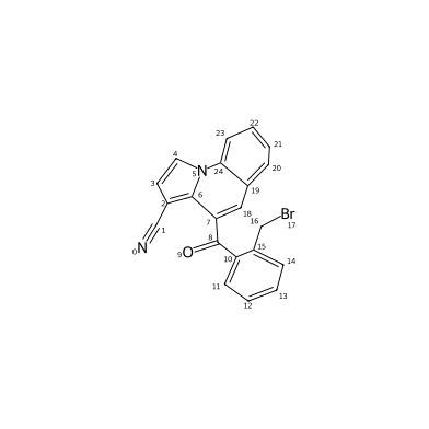 N#Cc1ccn2c1c(C(=O)c1ccccc1CBr)cc1ccccc12